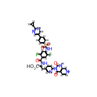 Cn1c(=O)n(-c2ccc(C[C@H](NC(=O)c3cc(F)c(NS(=O)(=O)c4ccc(-c5cnc(C6CC6)nc5)cc4)cc3F)C(=O)O)cn2)c(=O)c2ccncc21